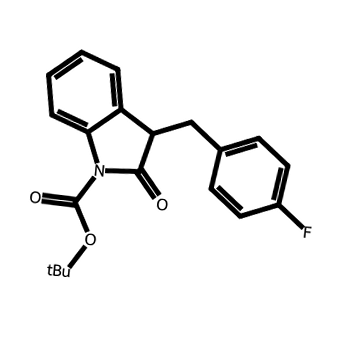 CC(C)(C)OC(=O)N1C(=O)C(Cc2ccc(F)cc2)c2ccccc21